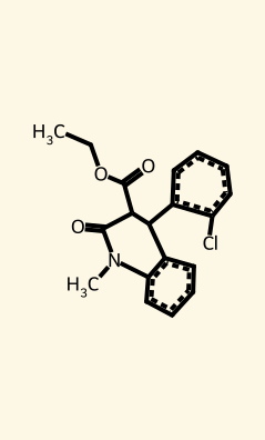 CCOC(=O)C1C(=O)N(C)c2ccccc2C1c1ccccc1Cl